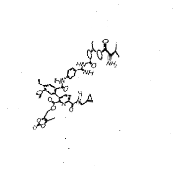 C=Cc1cc(C(=O)Nc2ccc(C(=N)NC(=O)OC(C)OC(=O)[C@@H](N)C(C)C)cc2)c(-c2ccc(C(=O)NCC3CC3)nc2C(=O)OCc2oc(=O)oc2C)cc1OC